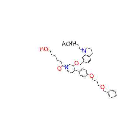 CC(=O)NCCN1CCCc2ccc(COC3CN(C(=O)CCCCCO)CCC3c3ccc(OCCCOCc4ccccc4)cc3)cc21